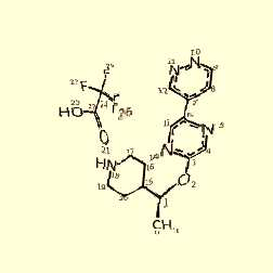 C[C@H](Oc1cnc(-c2ccnnc2)cn1)C1CCNCC1.O=C(O)C(F)(F)F